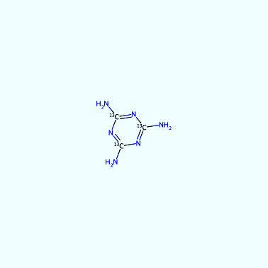 N[13c]1n[13c](N)n[13c](N)n1